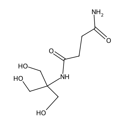 NC(=O)CCC(=O)NC(CO)(CO)CO